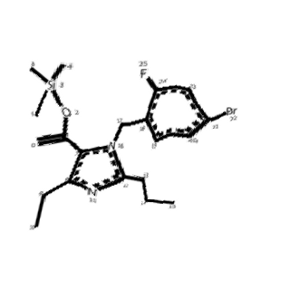 C=C(O[Si](C)(C)C)c1c(CC)nc(CCC)n1Cc1ccc(Br)cc1F